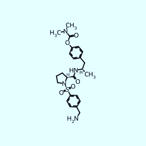 C[C@H](Cc1ccc(OC(=O)N(C)C)cc1)NC(=O)[C@@H]1CCCN1S(=O)(=O)c1ccc(CN)cc1